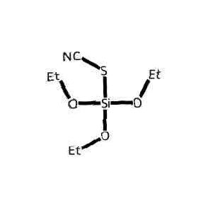 CCO[Si](OCC)(OCC)SC#N